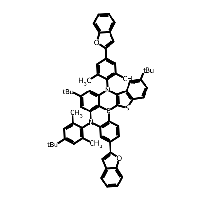 Cc1cc(C(C)(C)C)cc(C)c1N1c2cc(-c3cc4ccccc4o3)ccc2B2c3sc4ccc(C(C)(C)C)cc4c3N(c3c(C)cc(-c4cc5ccccc5o4)cc3C)c3cc(C(C)(C)C)cc1c32